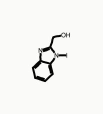 OCc1nc2ccccc2n1I